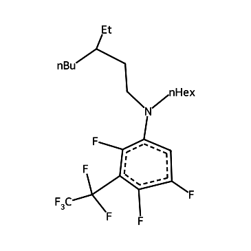 CCCCCCN(CCC(CC)CCCC)c1cc(F)c(F)c(C(F)(F)C(F)(F)F)c1F